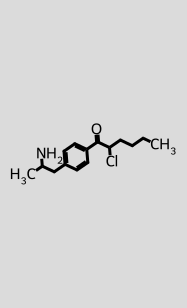 CCCCC(Cl)C(=O)c1ccc(CC(C)N)cc1